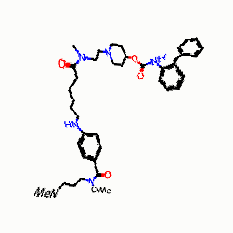 CNCCCN(OC)C(=O)c1ccc(NCCCCCC(=O)N(C)CCN2CCC(OC(=O)Nc3ccccc3-c3ccccc3)CC2)cc1